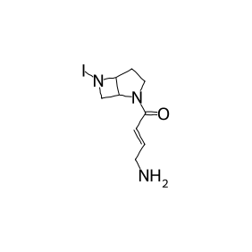 NC/C=C/C(=O)N1CCC2C1CN2I